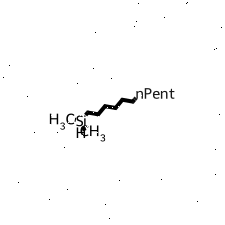 CCCCCCCCCCC[SiH](C)C